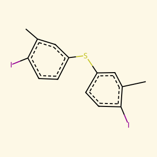 Cc1cc(Sc2ccc(I)c(C)c2)ccc1I